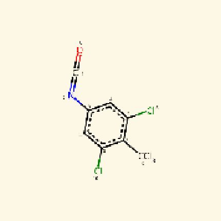 O=C=Nc1cc(Cl)c(C(Cl)(Cl)Cl)c(Cl)c1